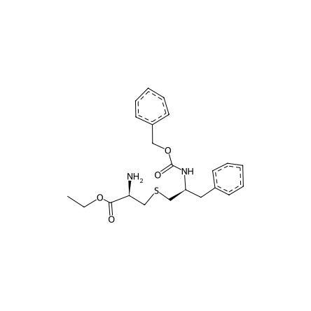 CCOC(=O)[C@@H](N)CSC[C@H](Cc1ccccc1)NC(=O)OCc1ccccc1